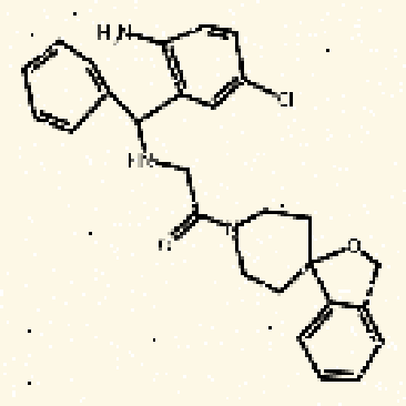 Nc1ccc(Cl)cc1C(NCC(=O)N1CCC2(CC1)OCc1ccccc12)c1ccccc1